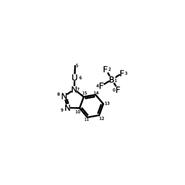 F[B-](F)(F)F.[CH3][U][n]1nnc2ccccc21